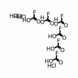 Cl.Cl.Cl.Cl.O=C(O)F.O=C(O)F.O=C(O)F.O=C(O)F.O=C(O)F.O=C(O)F